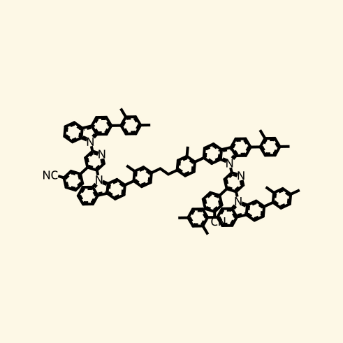 Cc1ccc(-c2ccc3c4ccccc4n(-c4cc(-c5cccc(C#N)c5)c(-n5c6ccccc6c6ccc(-c7ccc(CCc8ccc(-c9ccc%10c%11ccc(-c%12ccc(C)cc%12C)cc%11n(-c%11cc(-c%12cccc(C#N)c%12)c(-n%12c%13cc(-c%14ccc(C)cc%14C)ccc%13c%13ccc(-c%14ccc(C)cc%14C)cc%13%12)cn%11)c%10c9)c(C)c8)cc7C)cc65)cn4)c3c2)c(C)c1